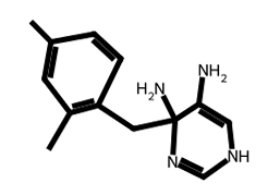 Cc1ccc(CC2(N)N=CNC=C2N)c(C)c1